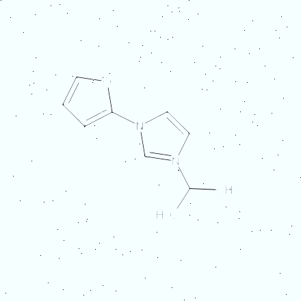 CC(C)[n+]1ccn(-c2ccco2)c1